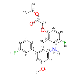 COc1cc(-c2cccc(F)c2)cc(N(C)c2c(F)ccc(OCC(=O)OC(C)C)c2C)c1